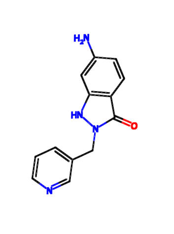 Nc1ccc2c(=O)n(Cc3cccnc3)[nH]c2c1